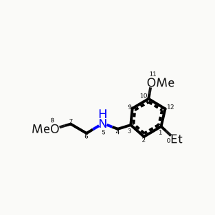 CCc1cc(CNCCOC)cc(OC)c1